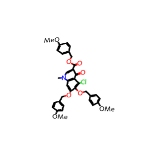 COc1ccc(COC(=O)c2cn(C)c3cc(OCc4ccc(OC)cc4)c(OCc4ccc(OC)cc4)c(Cl)c3c2=O)cc1